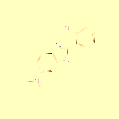 Nc1ccccc1-c1nc2ccc([N+](=O)[O-])cc2n1O